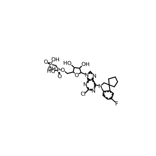 O=P(O)(O)CP(=O)(O)OCC1OC(n2cnc3c(N4CC5(CCCC5)c5cc(F)ccc54)nc(Cl)nc32)C(O)C1O